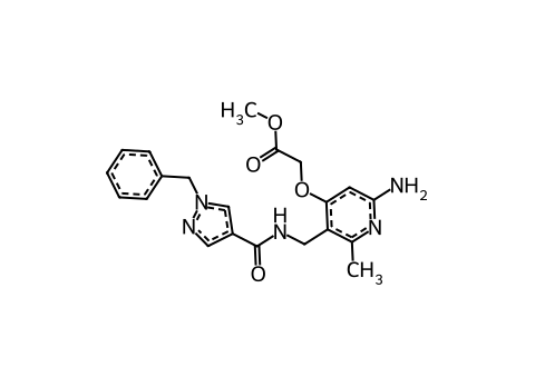 COC(=O)COc1cc(N)nc(C)c1CNC(=O)c1cnn(Cc2ccccc2)c1